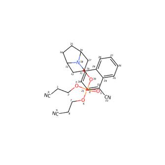 N#CCCOP(=O)(OCCC#N)OC1CC2CCC(C1)N2c1ccc(C#N)c2ccccc12